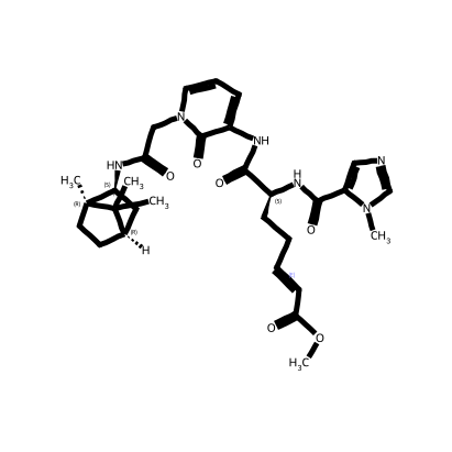 COC(=O)/C=C/CC[C@H](NC(=O)c1cncn1C)C(=O)Nc1cccn(CC(=O)N[C@H]2C[C@H]3CC[C@]2(C)C3(C)C)c1=O